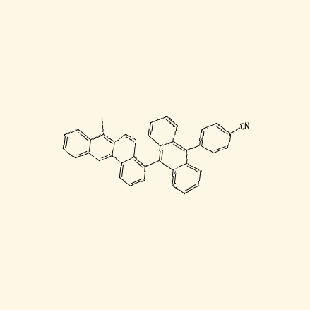 Cc1c2ccccc2cc2c1ccc1c(-c3c4ccccc4c(-c4ccc(C#N)cc4)c4ccccc34)cccc12